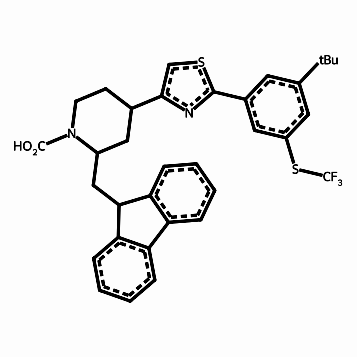 CC(C)(C)c1cc(SC(F)(F)F)cc(-c2nc(C3CCN(C(=O)O)C(CC4c5ccccc5-c5ccccc54)C3)cs2)c1